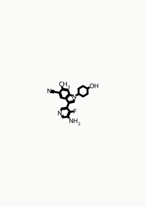 Cc1cc2c(cc1C#N)c(-c1cncc(N)c1F)cn2C1CCC(O)CC1